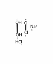 Cl.OO.[Na+].[O-]Cl